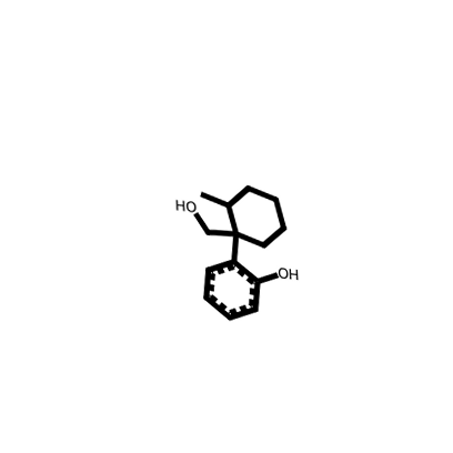 CC1CCCCC1(CO)c1ccccc1O